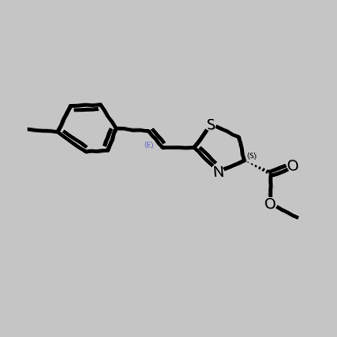 COC(=O)[C@H]1CSC(/C=C/c2ccc(C)cc2)=N1